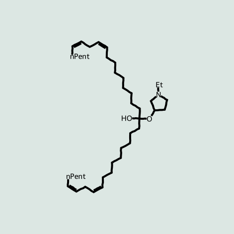 CCCCC/C=C\C/C=C\CCCCCCCCC(O)(CCCCCCCC/C=C\C/C=C\CCCCC)OC1CCN(CC)C1